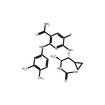 Cc1ccc(Nc2nc(N[C@H](C3CC3)[C@H](C)NC(=O)O)c(F)cc2C(N)=O)cc1C